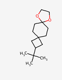 CC(C)(C)C1CC2(CCC3(CC2)OCCO3)C1